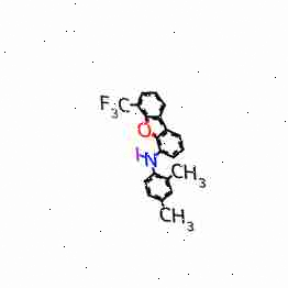 Cc1ccc(N(I)c2cccc3c2oc2c(C(F)(F)F)cccc23)c(C)c1